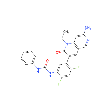 CCn1c(=O)c(-c2cc(NC(=O)Nc3ccccc3)c(F)cc2F)cc2cnc(N)cc21